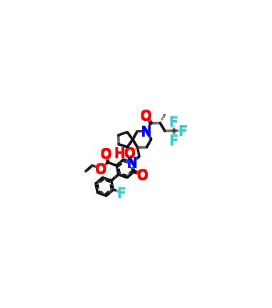 CCOC(=O)c1cn(C[C@]2(O)CCN(C(=O)[C@H](C)CC(F)(F)F)CC23CCCC3)c(=O)cc1-c1ccccc1F